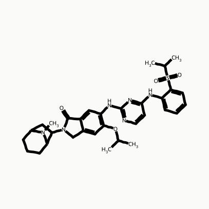 CC(C)Oc1cc2c(cc1Nc1nccc(Nc3ccccc3S(=O)(=O)C(C)C)n1)C(=O)N(C1CC3CCCC1N3C)C2